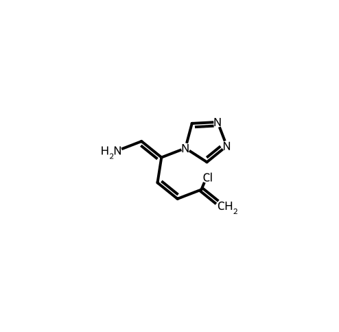 C=C(Cl)/C=C\C(=C/N)n1cnnc1